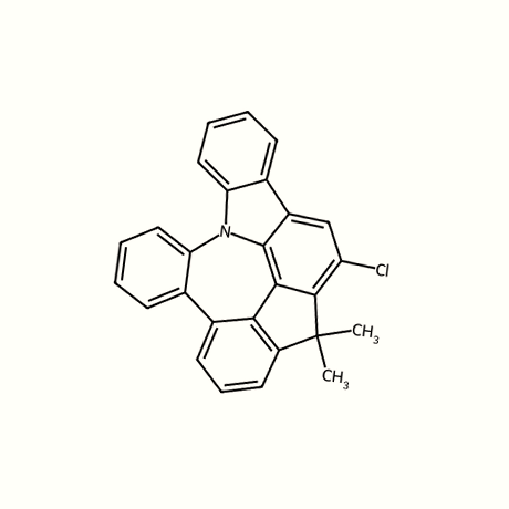 CC1(C)c2cccc3c2-c2c1c(Cl)cc1c4ccccc4n(c21)-c1ccccc1-3